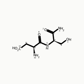 NC(=O)[C@@H](CO)NC(=O)[C@@H](N)CC(=O)O